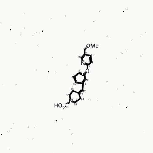 COCc1ccc(Oc2cccc(C=C3CCN(C(=O)O)CC3)c2)nc1